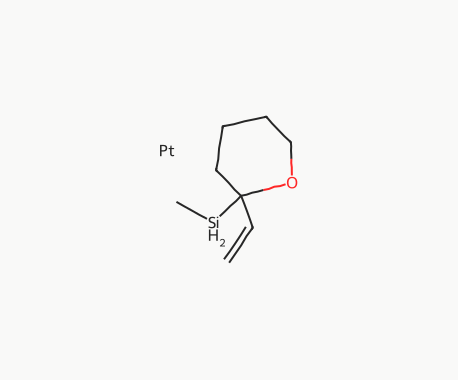 C=CC1([SiH2]C)CCCCO1.[Pt]